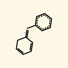 C1=CC/C(=I/c2ccccc2)C=C1